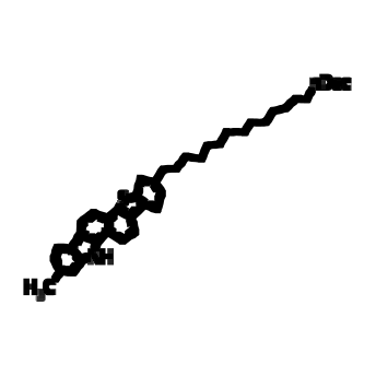 CCCCCCCCCCCCCCCCCCCCCCCCc1ccc2c(c1)sc1c2ccc2c1ccc1c3ccc(C)cc3[nH]c12